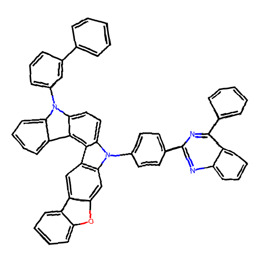 c1ccc(-c2cccc(-n3c4ccccc4c4c5c6cc7c(cc6n(-c6ccc(-c8nc(-c9ccccc9)c9ccccc9n8)cc6)c5ccc43)oc3ccccc37)c2)cc1